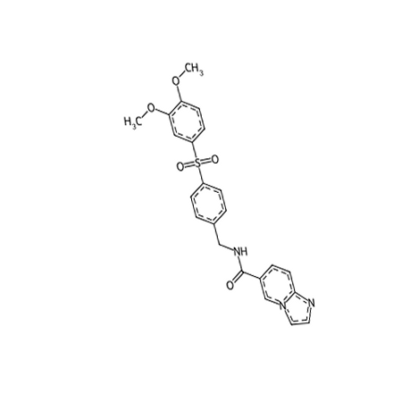 COc1ccc(S(=O)(=O)c2ccc(CNC(=O)c3ccc4nccn4c3)cc2)cc1OC